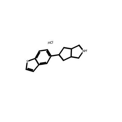 Cl.c1cc2cc(C3CC4CNCC4C3)ccc2s1